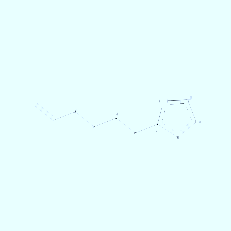 C=CCCCCc1ccco1